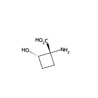 N[C@]1(C(=O)O)CC[C@@H]1O